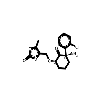 Cc1oc(=O)oc1CO[C@@H]1CCC[C@@](N)(c2ccccc2Cl)C1=O